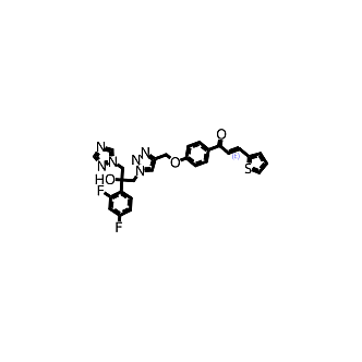 O=C(/C=C/c1cccs1)c1ccc(OCc2cn(CC(O)(Cn3cncn3)c3ccc(F)cc3F)nn2)cc1